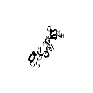 Cc1cccc(NC(=O)N2CCCC(CNc3nc(-c4c[nH]c5ncc(Cl)cc45)ncc3F)C2)c1